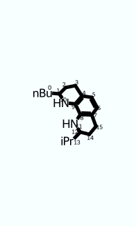 CCCCC1CCc2ccc3c(c2N1)NC(C(C)C)CC3